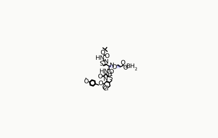 BOC(=O)/C=C/O/N=C(\C(=O)N[C@@H]1C(=O)N2C(C(=O)OCc3ccc(OC)cc3)=C(CCl)CS[C@H]12)c1csc(NC(=O)OC(C)(C)C)n1